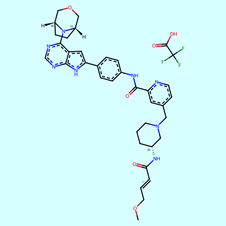 COC/C=C/C(=O)N[C@@H]1CCCN(Cc2ccnc(C(=O)Nc3ccc(-c4cc5c(N6[C@@H]7CC[C@H]6COC7)ncnc5[nH]4)cc3)c2)C1.O=C(O)C(F)(F)F